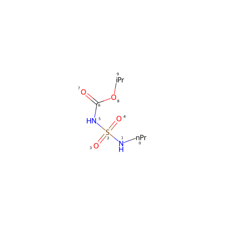 CCCNS(=O)(=O)NC(=O)OC(C)C